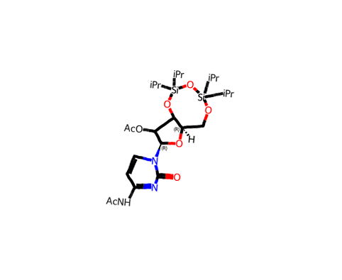 CC(=O)Nc1ccn([C@@H]2O[C@@H]3CO[Si](C(C)C)(C(C)C)O[Si](C(C)C)(C(C)C)OC3C2OC(C)=O)c(=O)n1